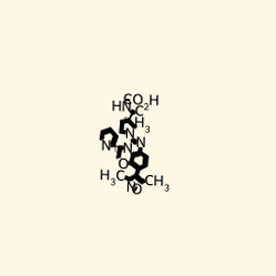 Cc1noc(C)c1-c1ccc2nc(N3CC[C@@H](C(C)NC(=O)O)C3)n3c2c1OC[C@@H]3c1ccccn1